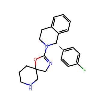 Fc1ccc([C@H]2c3ccccc3CCN2C2=NCC3(CCCNC3)O2)cc1